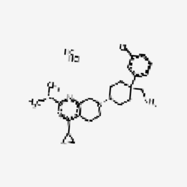 CN(C)c1nc2c(c(C3CC3)n1)CCN([C@H]1CC[C@@](CN)(c3cccc(Cl)c3)CC1)C2.Cl.Cl